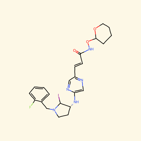 O=C(C=Cc1cnc(N[C@@H]2CCN(Cc3ccccc3F)C2I)cn1)NOC1CCCCO1